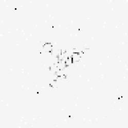 CC(C)C[C@H](NC(=O)[C@H](Cc1ccc(O)cc1)NC(=O)[C@H](Cc1ccc(Cl)cc1)NC(=O)O)C(=O)c1ccco1